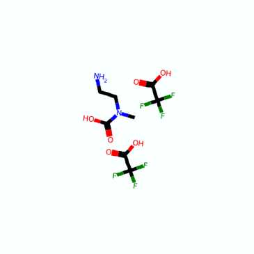 CN(CCN)C(=O)O.O=C(O)C(F)(F)F.O=C(O)C(F)(F)F